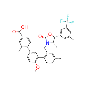 COc1ccc(-c2ccc(C(=O)O)cc2C)cc1-c1ccc(C)cc1CN1C(=O)O[C@H](c2cc(C)cc(C(F)(F)F)c2)[C@@H]1C